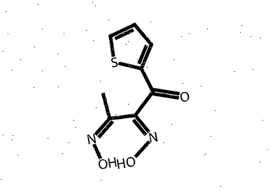 CC(=N/O)/C(=N\O)C(=O)c1cccs1